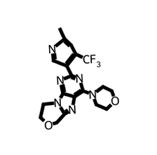 Cc1cc(C(F)(F)F)c(-c2nc(N3CCOCC3)c3nc4n(c3n2)CCOC4)cn1